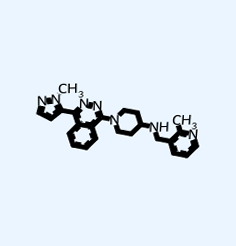 Cc1ncccc1CNC1CCN(c2nnc(-c3ccnn3C)c3ccccc23)CC1